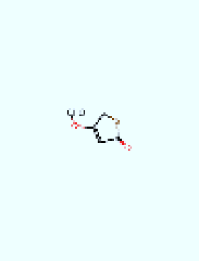 O=COC1=CC(=O)SC1